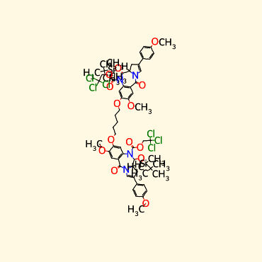 COc1ccc(C2=CN3C(=O)c4cc(OC)c(OCCCCCOc5cc6c(cc5OC)C(=O)N5C=C(c7ccc(OC)cc7)C[C@H]5[C@H](O[Si](C)(C)C(C)(C)C)N6C(=O)OCC(Cl)(Cl)Cl)cc4N(C(=O)OCC(Cl)(Cl)Cl)[C@@H](O[Si](C)(C)C(C)(C)C)[C@@H]3C2)cc1